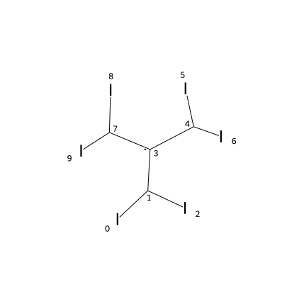 IC(I)[C](C(I)I)C(I)I